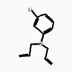 [Li][c]1cccc(N(CC=C)CC=C)c1